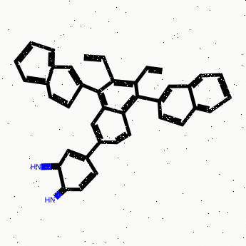 C=Cc1c(C=C)c(-c2ccc3ccccc3c2)c2cc(C3=CC(=N)C(=N)C=C3)ccc2c1-c1ccc2ccccc2c1